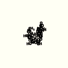 CSSC.C[C@H]1O[C@@H](O[C@H]2[C@@H](O)C[C@H](O[C@H]3[C@@H](O)C[C@H](O[C@H]4CC[C@@]5(C)[C@H](CC[C@@H]6[C@@H]5C[C@@H](O)[C@]5(C)[C@@H](C7=CC(=O)OC7)CC[C@]65O)C4)O[C@@H]3C)O[C@@H]2C)C[C@H](O)[C@@H]1O